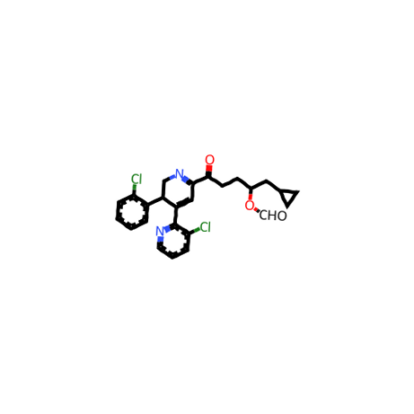 O=COC(CCC(=O)C1=NCC(c2ccccc2Cl)C(c2ncccc2Cl)=C1)CC1CC1